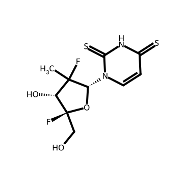 CC1(F)[C@@H](O)[C@@](F)(CO)O[C@H]1n1ccc(=S)[nH]c1=S